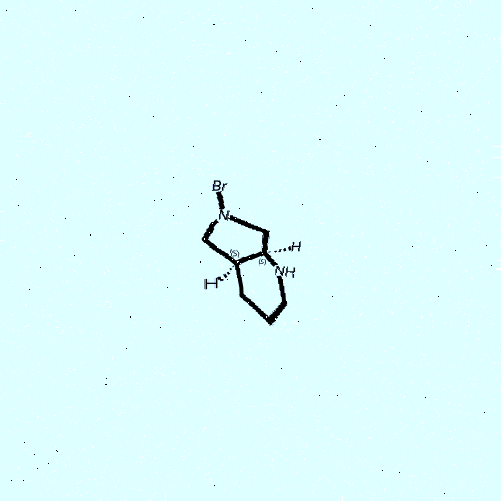 BrN1C[C@@H]2CCCN[C@@H]2C1